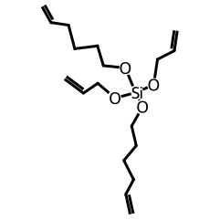 C=CCCCCO[Si](OCC=C)(OCC=C)OCCCCC=C